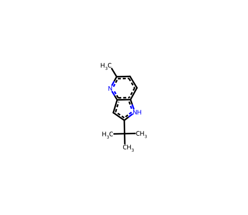 Cc1ccc2[nH]c(C(C)(C)C)cc2n1